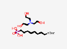 CCCCCCCCCCCCCCCCCCP(=O)(O)O.OCCN(CCO)CCO